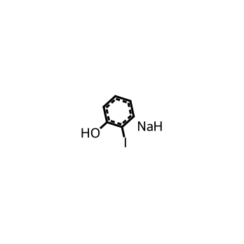 Oc1ccccc1I.[NaH]